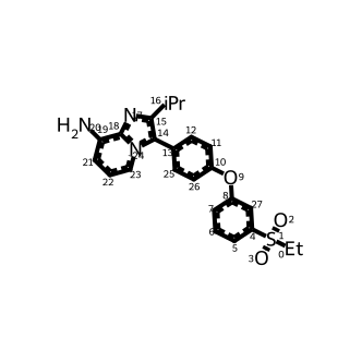 CCS(=O)(=O)c1cccc(Oc2ccc(-c3c(C(C)C)nc4c(N)cccn34)cc2)c1